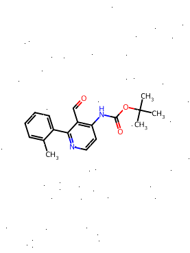 Cc1ccccc1-c1nccc(NC(=O)OC(C)(C)C)c1C=O